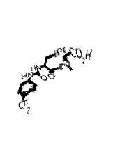 CC(C)CC(NC(=O)Nc1ccc(C(F)(F)F)cc1)C(=O)N(C)CC(=O)O